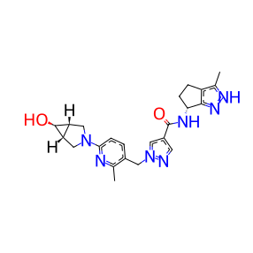 Cc1nc(N2C[C@@H]3[C@@H](O)[C@@H]3C2)ccc1Cn1cc(C(=O)N[C@@H]2CCc3c2n[nH]c3C)cn1